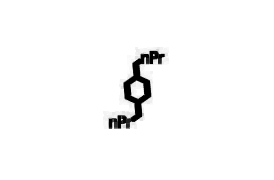 CCCC=c1ccc(=CCCC)cc1